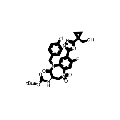 CC(C)(C)OC(=O)N[C@H]1CS(=O)(=O)c2cc(F)c(-c3nnc(C4(CO)CC4)o3)cc2N(Cc2ccc(Cl)cc2)C1=O